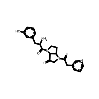 NC(Cc1cccc(O)c1)C(=O)N1CCC2C1C(=O)CN2C(=O)Cc1cccnc1